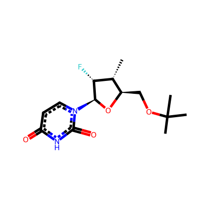 C[C@H]1[C@@H](F)[C@H](n2ccc(=O)[nH]c2=O)O[C@@H]1COC(C)(C)C